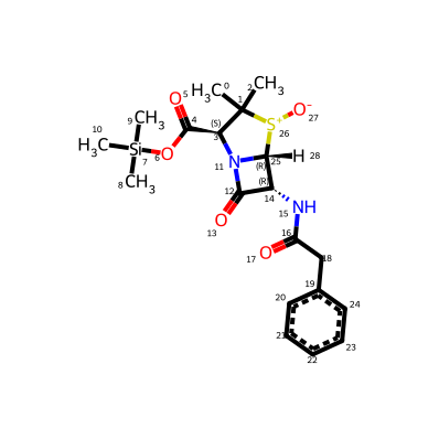 CC1(C)[C@H](C(=O)O[Si](C)(C)C)N2C(=O)[C@@H](NC(=O)Cc3ccccc3)[C@H]2[S+]1[O-]